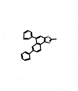 Cc1nc2c(cc(-c3ccccc3)c3cc(-c4ccccc4)ccc32)s1